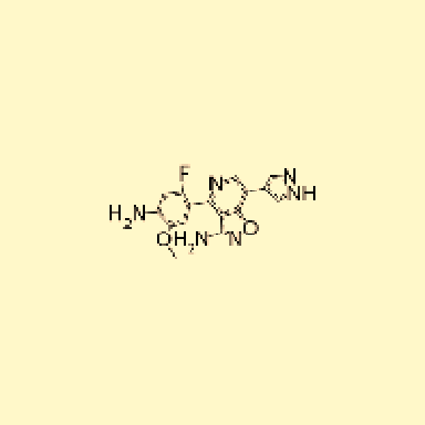 COc1cc(-c2ncc(-c3cn[nH]c3)c3onc(N)c23)c(F)cc1N